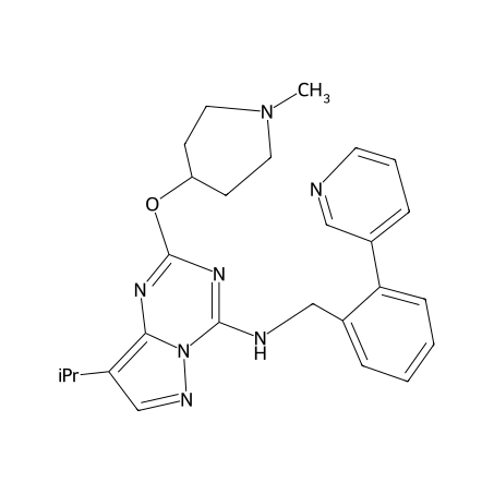 CC(C)c1cnn2c(NCc3ccccc3-c3cccnc3)nc(OC3CCN(C)CC3)nc12